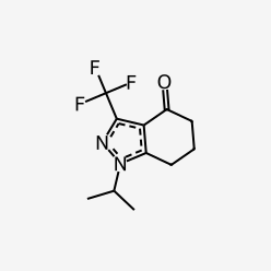 CC(C)n1nc(C(F)(F)F)c2c1CCCC2=O